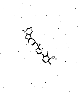 Cc1sc2c(c1CC(=O)Nc1nc(-c3ccc(F)c(C(F)(F)F)c3F)cs1)COCN2C